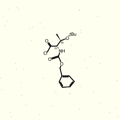 C[C@@H](OC(C)(C)C)[C@H](NC(=O)OCc1ccccc1)C(=O)Cl